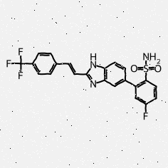 NS(=O)(=O)c1ccc(F)cc1-c1ccc2[nH]c(/C=C/c3ccc(C(F)(F)F)cc3)nc2c1